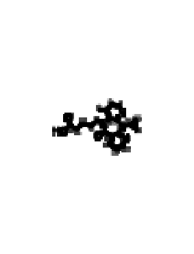 Cc1ccnc2c1N(CCCCC(=O)O)C(=O)c1cccnc1N2C1CC1